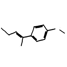 CC/C=C(\C)c1ccc(OC)cc1